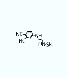 N#Cc1ccc(NCCNS)cc1C#N